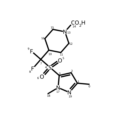 Cc1cc(S(=O)(=O)C(F)(F)C2CCN(C(=O)O)CC2)n(C)n1